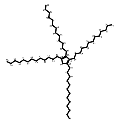 CCCCCCCCCCCCCC1=C(CCCCCCCCCCCCC)C(CCCCCCCCCCCCC)=C(CCCCCCCCCCCCC)C1